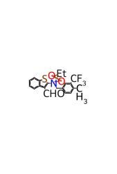 CCS(=O)(=O)N(Cc1ccc(C)c(C(F)(F)F)c1)c1sc2ccccc2c1C=O